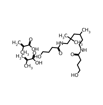 C=C(C)C(=O)O.C=C(C)C(=O)O.CC(CCNC(=O)CCCO)CC(C)(C)CNC(=O)CCCO